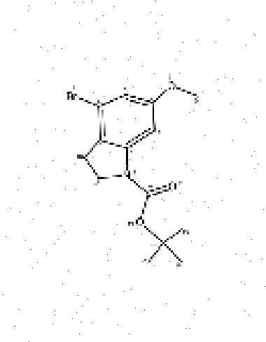 COc1cc(Br)c2c(c1)N(C(=O)OC(C)(C)C)CC2